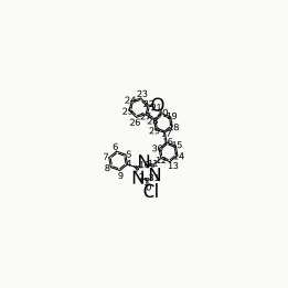 Clc1nc(-c2ccccc2)nc(-c2cccc(-c3ccc4oc5ccccc5c4c3)c2)n1